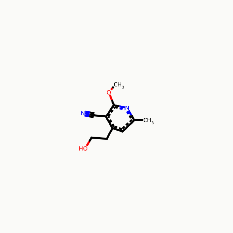 COc1nc(C)cc(CCO)c1C#N